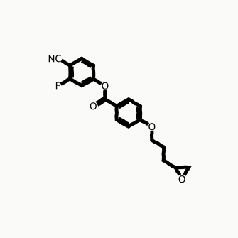 N#Cc1ccc(OC(=O)c2ccc(OCCCC3CO3)cc2)cc1F